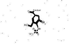 COC(=O)c1cc(N)c(NS(C)(=O)=O)c(CO)c1